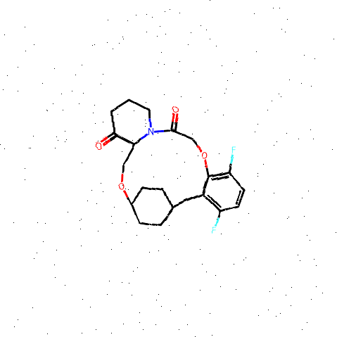 O=C1CCCN2C(=O)COc3c(F)ccc(F)c3C3CCC(CC3)OCC12